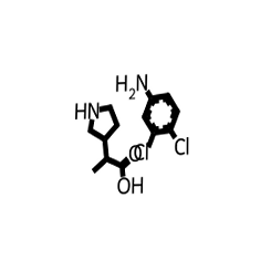 CC(C(=O)O)C1CCNC1.Nc1ccc(Cl)c(Cl)c1